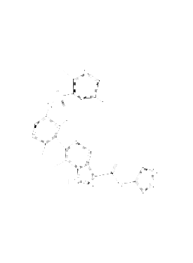 Cc1ncc(F)cc1S(=O)(=O)Nc1ccc(F)c(-c2ccc3c(C(=O)Nc4cn[nH]c4)n[nH]c3c2F)c1F